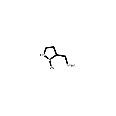 CCCCCCC1CCNN1C(C)=O